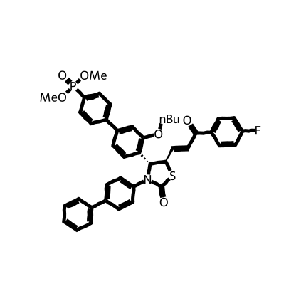 CCCCOc1cc(-c2ccc(P(=O)(OC)OC)cc2)ccc1[C@@H]1[C@@H](/C=C/C(=O)c2ccc(F)cc2)SC(=O)N1c1ccc(-c2ccccc2)cc1